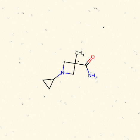 CC1(C(N)=O)CN(C2CC2)C1